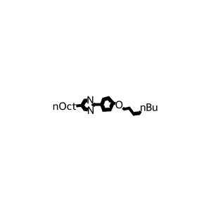 CCCC/C=C\CCOc1ccc(-c2ncc(CCCCCCCC)cn2)cc1